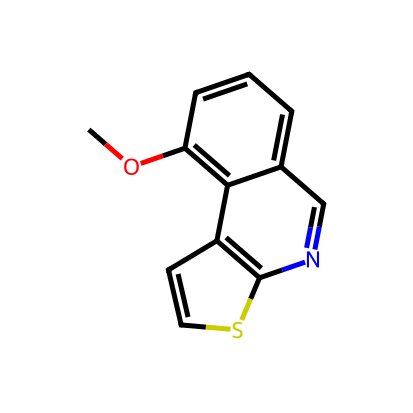 COc1cccc2cnc3sccc3c12